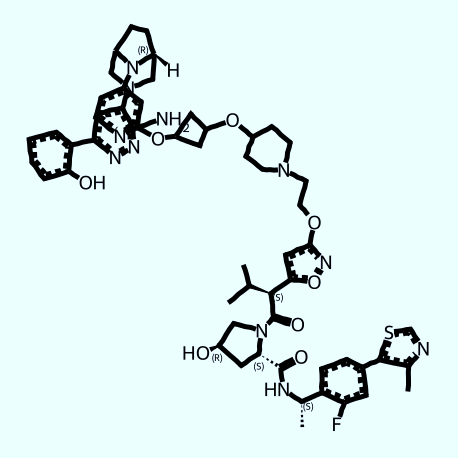 Cc1ncsc1-c1ccc([C@H](C)NC(=O)[C@@H]2C[C@@H](O)CN2C(=O)[C@H](c2cc(OCCN3CCC(OC4CC(Oc5cc(N6C7CC[C@@H]6CN(c6cc(-c8ccccc8O)nnc6N)C7)ccn5)C4)CC3)no2)C(C)C)c(F)c1